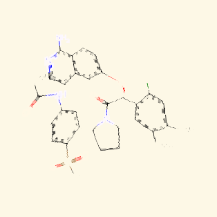 COC(=O)Nc1ccc(S(=O)(=O)C(C)C)c([C@H]2CCCN2C(=O)[C@@H](Oc2ccc3c(N)nccc3c2)c2cc(OC)c(OC)cc2F)c1